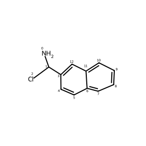 NC(Cl)c1ccc2ccccc2c1